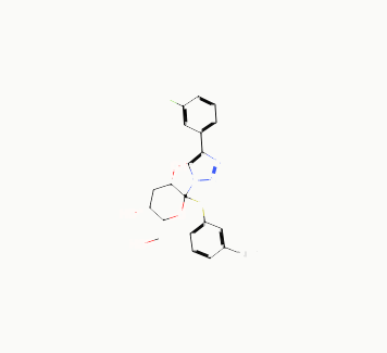 CC(=O)Nc1cccc(SC2(n3cc(-c4cccc(F)c4)nn3)O[C@H](CO)[C@H](O)C[C@H]2O)c1